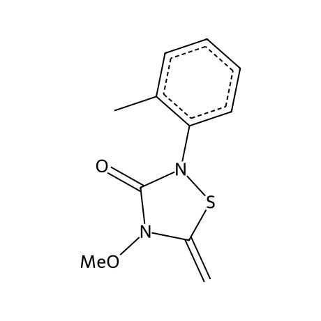 C=C1SN(c2ccccc2C)C(=O)N1OC